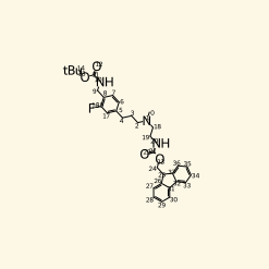 CN(CCCc1ccc(CNC(=O)OC(C)(C)C)c(F)c1)CCNC(=O)OCC1c2ccccc2-c2ccccc21